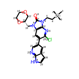 C[Si](C)(C)CCn1c(=O)n(C[C@H]2COCCO2)c2cc(-c3cnc4[nH]ccc4c3)c(Cl)nc21